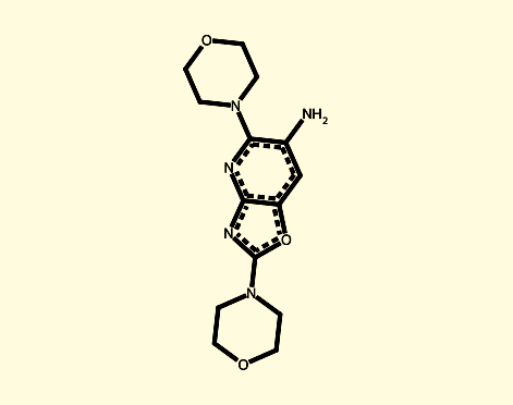 Nc1cc2oc(N3CCOCC3)nc2nc1N1CCOCC1